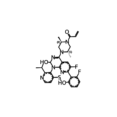 C=CC(=O)N1C[C@H](C)N(C2=NC(O)N(c3c(SC)ccnc3C(C)C)c3nc(-c4c(O)cccc4F)c(F)cc32)C[C@H]1C